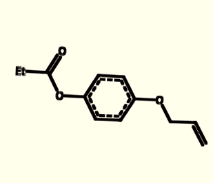 C=CCOc1ccc(OC(=O)CC)cc1